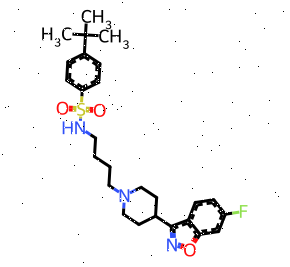 CC(C)(C)c1ccc(S(=O)(=O)NCCCCN2CCC(c3noc4cc(F)ccc34)CC2)cc1